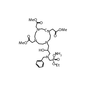 CCOP(=O)(CN(Cc1ccccc1)CC(O)CN1CCN(CC(=O)OC)CCN(CC(=O)OC)CCN(CC(=O)OC)CC1)ON